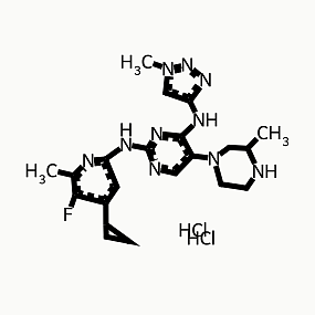 Cc1nc(Nc2ncc(N3CCNC(C)C3)c(Nc3cn(C)nn3)n2)cc(C2CC2)c1F.Cl.Cl